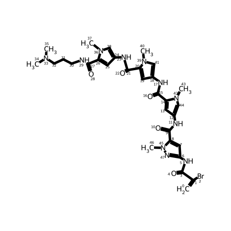 C=C(Br)C(=O)Nc1cc(C(=O)Nc2cc(C(=O)Nc3cc(C(=O)Nc4cc(C(=O)NCCCN(C)C)n(C)c4)n(C)c3)n(C)c2)n(C)n1